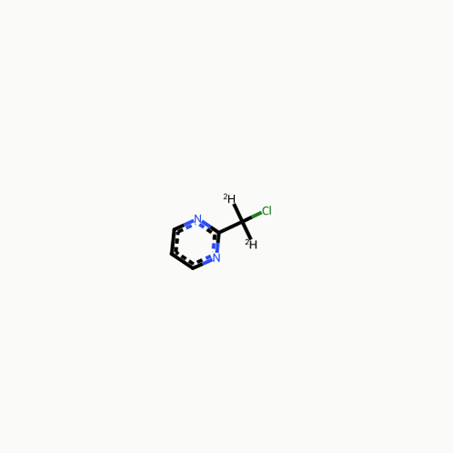 [2H]C([2H])(Cl)c1ncccn1